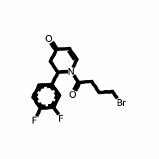 O=C1C=CN(C(=O)CCCBr)C(c2ccc(F)c(F)c2)C1